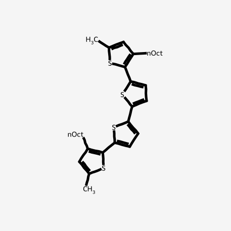 CCCCCCCCc1cc(C)sc1-c1ccc(-c2ccc(-c3sc(C)cc3CCCCCCCC)s2)s1